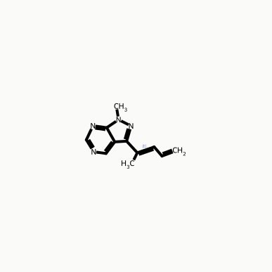 C=C/C=C(\C)c1nn(C)c2ncncc12